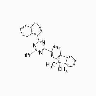 CC(C)c1nc(C2=C3CCC=CC3CC=C2)nc(-c2c#cc3c(c2)C(C)(C)c2ccccc2-3)n1